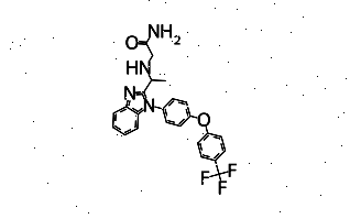 CC(NCC(N)=O)c1nc2ccccc2n1-c1ccc(Oc2ccc(C(F)(F)F)cc2)cc1